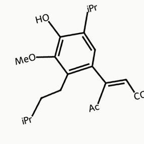 COc1c(O)c(C(C)C)cc(C(=CC(=O)O)C(C)=O)c1CCC(C)C